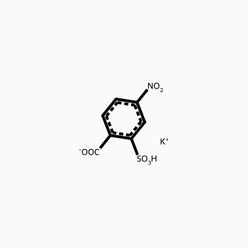 O=C([O-])c1ccc([N+](=O)[O-])cc1S(=O)(=O)O.[K+]